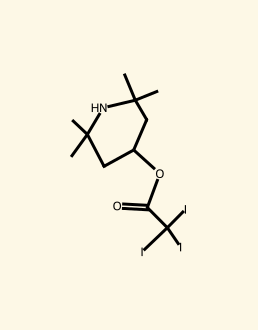 CC1(C)CC(OC(=O)C(I)(I)I)CC(C)(C)N1